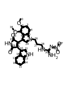 COc1ccc2c(c(C3=C(c4c[nH]c5ccccc45)C(=O)NC3=O)cn2CCCNC(N)=N[N+](=O)[O-])c1OC